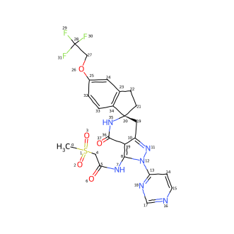 CS(=O)(=O)CC(=O)Nc1c2c(nn1-c1ccncn1)C[C@@]1(CCc3cc(OCC(F)(F)F)ccc31)NC2=O